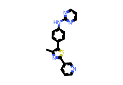 Cc1nc(-c2cccnc2)sc1-c1ccc(Nc2ncccn2)cc1